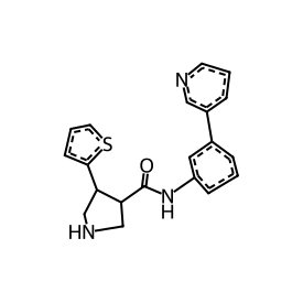 O=C(Nc1cccc(-c2cccnc2)c1)C1CNCC1c1cccs1